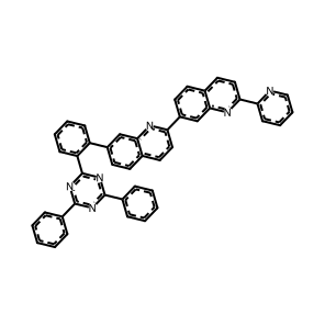 c1ccc(-c2nc(-c3ccccc3)nc(-c3ccccc3-c3ccc4ccc(-c5ccc6ccc(-c7ccccn7)nc6c5)nc4c3)n2)cc1